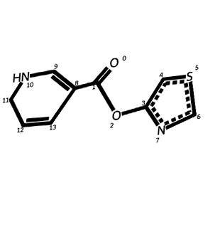 O=C(Oc1cscn1)C1=CNCC=C1